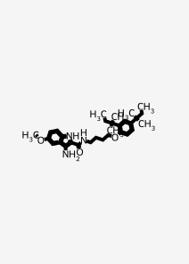 CCC(C)(C)c1ccc(OCCCCNC(=O)c2[nH]c3ccc(OC)cc3c2N)c(C(C)(C)CC)c1